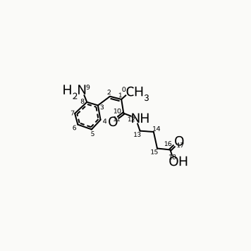 CC(=Cc1ccccc1N)C(=O)NCCCC(=O)O